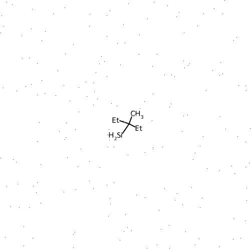 CCC(C)([SiH2])CC